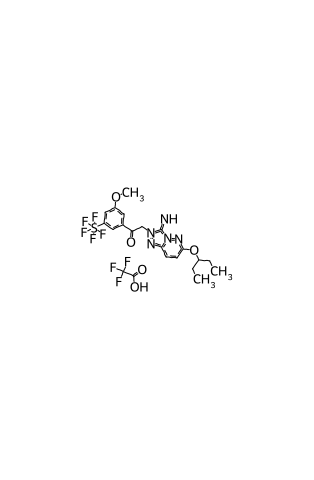 CCC(CC)Oc1ccc2nn(CC(=O)c3cc(OC)cc(S(F)(F)(F)(F)F)c3)c(=N)n2n1.O=C(O)C(F)(F)F